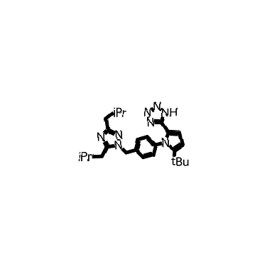 CC(C)Cc1nc(CC(C)C)n(Cc2ccc(-n3c(-c4nnn[nH]4)ccc3C(C)(C)C)cc2)n1